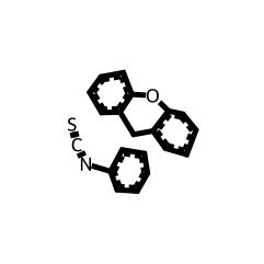 S=C=Nc1ccccc1.c1ccc2c(c1)Cc1ccccc1O2